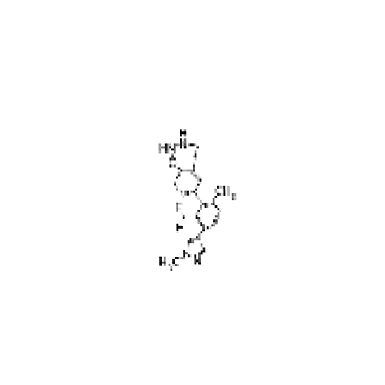 Cc1ccc(-c2cnn(C)c2)c(C(F)F)c1C1=CCC2ONNC=CC2=C1